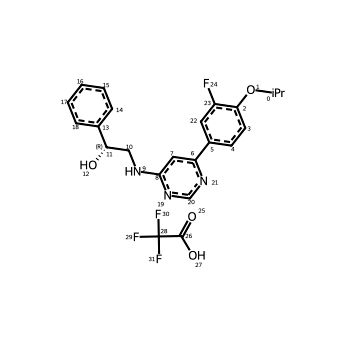 CC(C)Oc1ccc(-c2cc(NC[C@H](O)c3ccccc3)ncn2)cc1F.O=C(O)C(F)(F)F